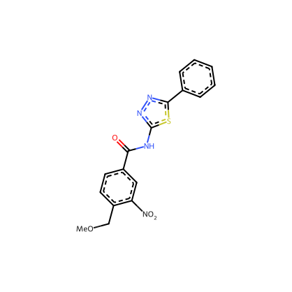 COCc1ccc(C(=O)Nc2nnc(-c3ccccc3)s2)cc1[N+](=O)[O-]